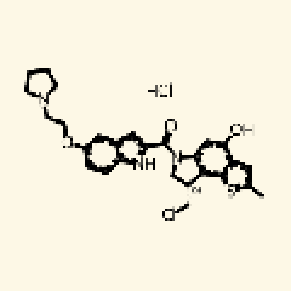 Cc1cc2c(O)cc3c(c2s1)[C@H](CCl)CN3C(=O)c1cc2cc(OCCN3CCCC3)ccc2[nH]1.Cl